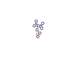 c1ccc(-n2c3ccccc3c3c(-c4cccc(-c5cccc6c5oc5ccccc56)c4)c4c5ccccc5n(-c5ccccc5)c4cc32)cc1